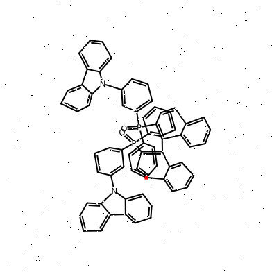 O=P(c1ccccc1)(c1cccc(-n2c3ccccc3c3ccccc32)c1)c1ccc2ccccc2c1-c1c(P(=O)(c2ccccc2)c2cccc(-n3c4ccccc4c4ccccc43)c2)ccc2ccccc12